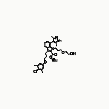 Cc1cc(OCCCc2c(C(=O)OC(C)(C)C)n(CCCOCCO)c3c(-c4c(C)nn(C)c4C)cccc23)cc(C)c1Cl